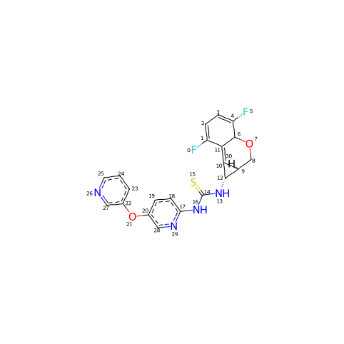 FC1=CC=C(F)C2OC[C@@H]3C(=C12)[C@H]3NC(=S)Nc1ccc(Oc2cccnc2)cn1